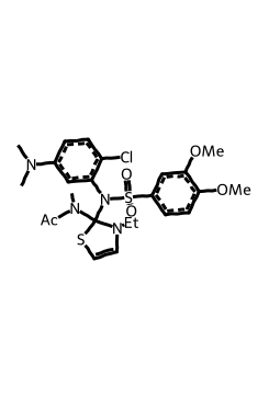 CCN1C=CSC1(N(C)C(C)=O)N(c1cc(N(C)C)ccc1Cl)S(=O)(=O)c1ccc(OC)c(OC)c1